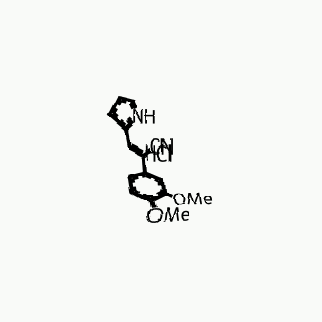 COc1ccc(C(C#N)=Cc2ccc[nH]2)cc1OC.Cl